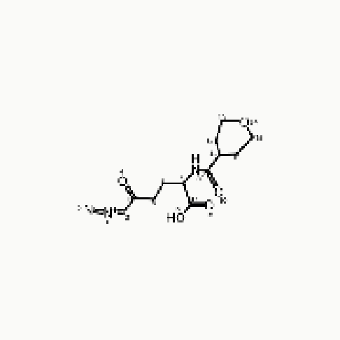 [N-]=[N+]=CC(=O)CCC(NC(=O)C1CCOCC1)C(=O)O